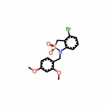 COc1ccc(CN2c3cccc(Br)c3CS2(=O)=O)c(OC)c1